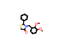 COc1cccc(CN2C(=O)CSC2c2ccccc2)c1OC